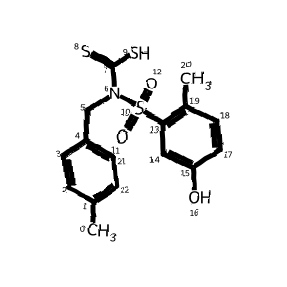 Cc1ccc(CN(C(=S)S)S(=O)(=O)c2cc(O)ccc2C)cc1